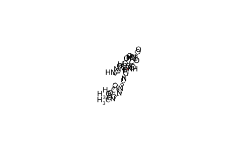 COc1cc(CN2CCN(C3CC4(CCN(c5ccc(C(=O)NS(=O)(=O)c6cc7c(c([N+](=O)[O-])c6)N[C@@H](C6CCOCC6)CO7)c(N6c7cc8cc[nH]c8nc7O[C@H]7COCC[C@@H]76)c5)CC4)C3)[C@H](c3ccccc3C)C2)cnc1OC